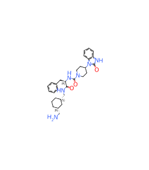 NC[C@@H]1CCC[C@H](CNC(=O)[C@@H](Cc2ccccc2)NC(=O)N2CCC(n3c(=O)[nH]c4ccccc43)CC2)C1